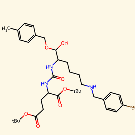 Cc1ccc(COC(O)C(CCCCNCc2ccc(Br)cc2)NC(=O)NC(CCC(=O)OC(C)(C)C)C(=O)OC(C)(C)C)cc1